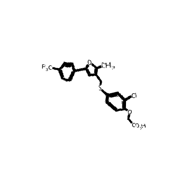 Cc1oc(-c2ccc(C(F)(F)F)cc2)cc1CSc1ccc(OCC(=O)O)c(Cl)c1